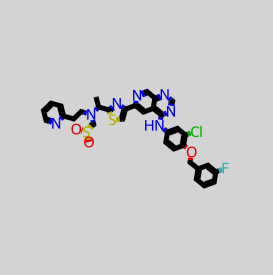 CC(c1nc(-c2cc3c(Nc4ccc(OCc5cccc(F)c5)c(Cl)c4)ncnc3cn2)cs1)N(C=S(=O)=O)CCc1ccccn1